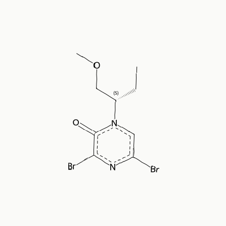 CC[C@@H](COC)n1cc(Br)nc(Br)c1=O